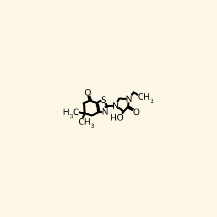 CCN1CN(c2nc3c(s2)C(=O)CC(C)(C)C3)C(O)C1=O